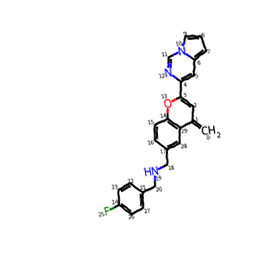 C=C1C=C(c2cc3cccn3cn2)Oc2ccc(CNCc3ccc(F)cc3)cc21